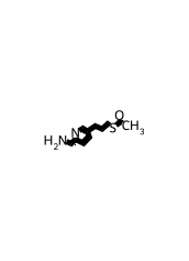 CC(=O)SCCCc1ccc([C]N)nc1